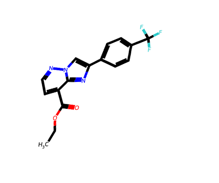 CCOC(=O)c1ccnn2cc(-c3ccc(C(F)(F)F)cc3)nc12